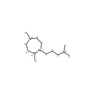 CN(C)CC[CH2][Al]1[CH2]CN(C)CC[N]1C